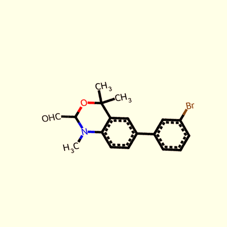 CN1c2ccc(-c3cccc(Br)c3)cc2C(C)(C)OC1C=O